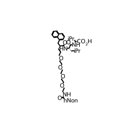 CCCCCCCCCC(=O)NCCOCCOCCOCCOCCC[C@@H](Cc1cccc2ccccc12)C(=O)N[C@@H](CC(C)C)C(=O)N[C@H](C(=O)O)C(C)C